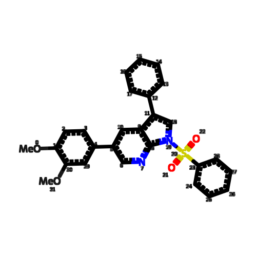 COc1ccc(-c2cnc3c(c2)c(-c2ccccc2)cn3S(=O)(=O)c2ccccc2)cc1OC